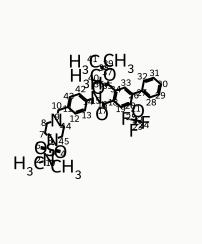 CN(C)S(=O)(=O)N1CCN(Cc2ccc(NC(=O)c3cc(OC(F)(F)F)c(-c4ccccc4)cc3C(=O)OC(C)(C)C)cc2)CC1